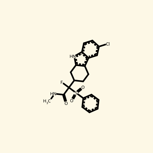 CNC(=O)C(F)(C1CCc2c([nH]c3ccc(Cl)cc23)C1)S(=O)(=O)c1ccccc1